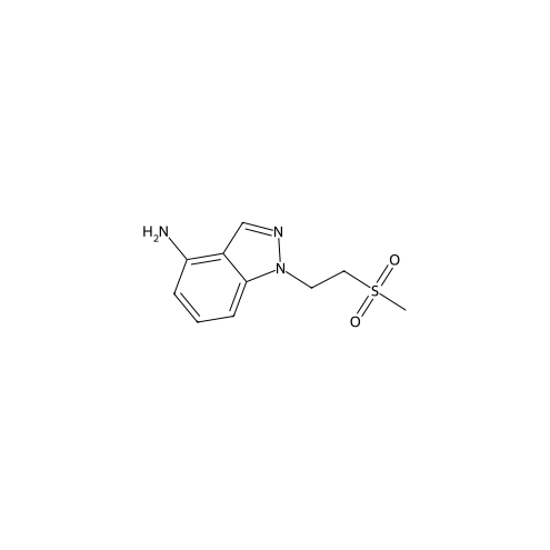 CS(=O)(=O)CCn1ncc2c(N)cccc21